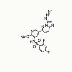 COc1ncc(-c2ccc3ncc(N=[N+]=[N-])n3n2)cc1NS(=O)(=O)c1ccc(F)cc1F